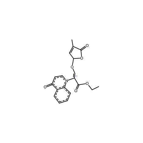 CCOC(=O)/C(=C/OC1C=C(C)C(=O)O1)n1ccc(=O)c2ccccc21